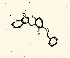 Fc1ccc(OCc2ccccc2)c(F)c1Cc1c[nH]c2ncccc12